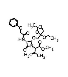 C=C(C)C(C(=O)OC)N1C(=O)[C@H](NC(=O)COc2ccccc2)[C@@H]1OCC(CCl)(OCC)OCC